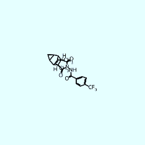 CC1=C(C)C2C3CC3C1[C@H]1C(=O)N(NC(=O)c3ccc(C(F)(F)F)cc3)C(=O)[C@@H]21